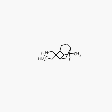 CC1(F)C2CCC3C1C(C2)C3(CN)CC(=O)O